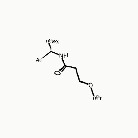 CCCCCC[C@@H](NC(=O)CCOCCC)C(C)=O